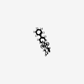 C[n+]1ccn(S(=O)(=O)N2CC=C(C3=CCCCC3)CC2)c1